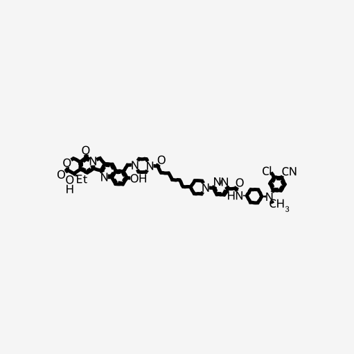 CC[C@@]1(O)C(=O)OCc2c1cc1n(c2=O)Cc2cc3c(CN4CCN(C(=O)CCCCCC5CCN(c6ccc(C(=O)N[C@H]7CC[C@H](N(C)c8ccc(C#N)c(Cl)c8)CC7)nn6)CC5)CC4)c(O)ccc3nc2-1